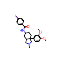 COc1ccc(C23CCC(NC(=O)c4ccc(I)cc4)CC2CN(C)C3)cc1OC